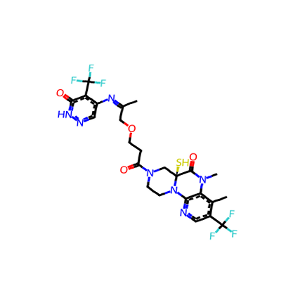 C/C(COCCC(=O)N1CCN2c3ncc(C(F)(F)F)c(C)c3N(C)C(=O)[C@@]2(S)C1)=N/c1cn[nH]c(=O)c1C(F)(F)F